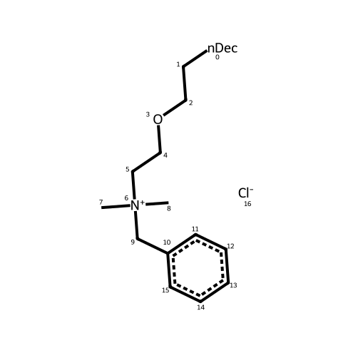 CCCCCCCCCCCCOCC[N+](C)(C)Cc1ccccc1.[Cl-]